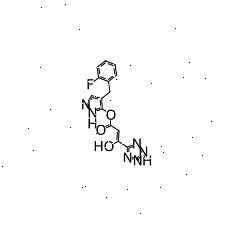 O=C(C=C(O)c1nn[nH]n1)Oc1[nH]ncc1Cc1ccccc1F